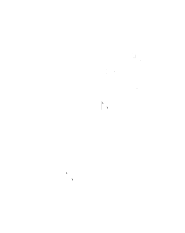 CC(C)(C)OC(=O)N1CC(c2cccnc2)C1